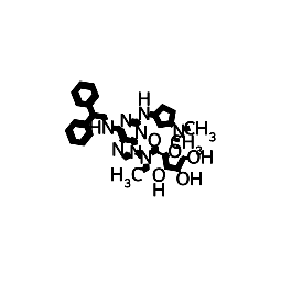 CCN(C(=O)[C@H]1O[C@@H](O)[C@H](O)[C@@H]1O)n1cnc2c(NCC(c3ccccc3)c3ccccc3)nc(NC3CCC(N(C)C)C3)nc21